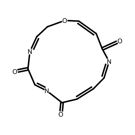 O=C1C=COCC=NC(=O)C=NC(=O)C=CC=N1